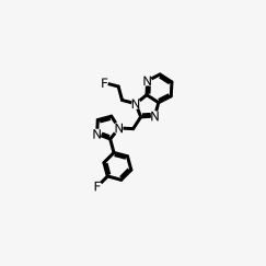 FCCn1c(Cn2ccnc2-c2cccc(F)c2)nc2cccnc21